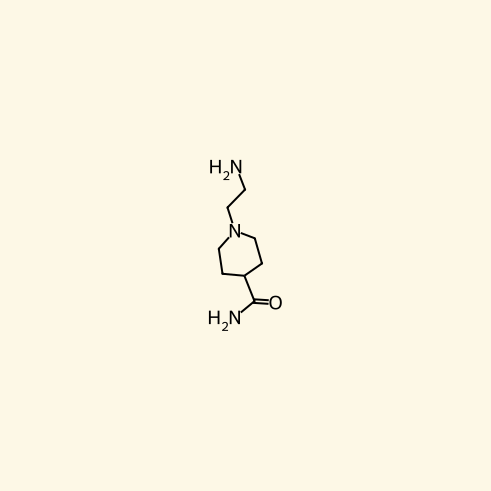 NCCN1CCC(C(N)=O)CC1